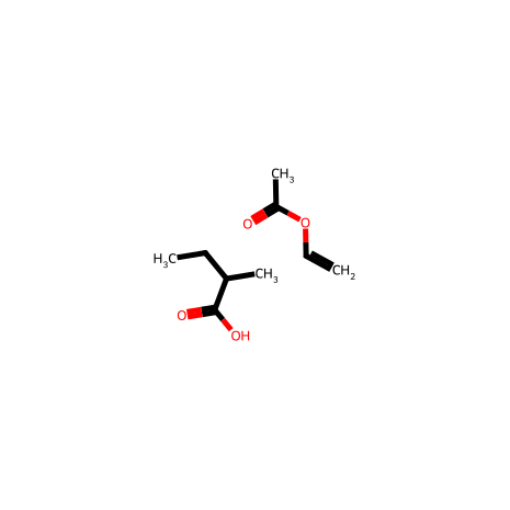 C=COC(C)=O.CCC(C)C(=O)O